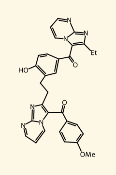 CCc1nc2ncccn2c1C(=O)c1ccc(O)c(CCc2nc3ncccn3c2C(=O)c2ccc(OC)cc2)c1